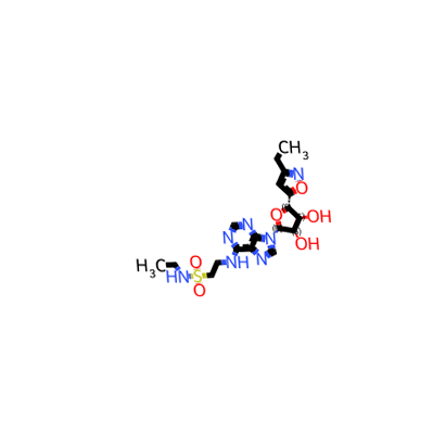 CCNS(=O)(=O)CCNc1ncnc2c1ncn2[C@@H]1O[C@H](c2cc(CC)no2)[C@@H](O)[C@@H]1O